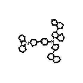 c1cc(-c2cccc3ccccc23)cc(N(c2ccc(-c3ccc(-n4c5ccccc5c5ccccc54)cc3)cc2)c2ccc(-c3cccc4ccccc34)c3ccccc23)c1